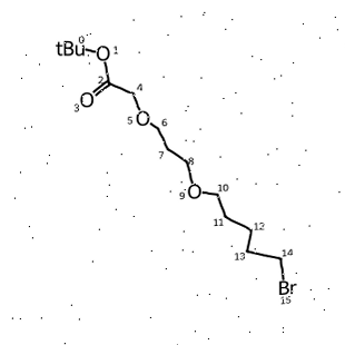 CC(C)(C)OC(=O)COCCCOCCCCCBr